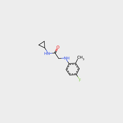 Cc1cc(F)ccc1NCC(=O)NC1CC1